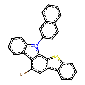 Brc1cc2c3ccccc3sc2c2c1c1ccccc1n2-c1ccc2ccccc2c1